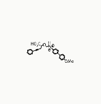 COc1ccc(-c2ccc(S(=O)(=O)NCO[C@H](CC#Cc3ccccc3)C(=O)O)cc2)cc1